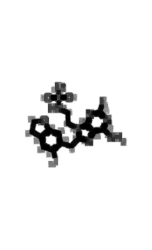 CCS(=O)(=O)NCCn1c(Cc2cc3c(cc2I)CCO3)nc2c(N)nc(F)nc21